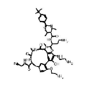 Cc1nc(-c2ccc(C(C)(C)C)cc2)nc(C)c1C(=O)NC(CCN)C(=O)N(C)C1C(=O)NC(C)C(=O)NC(C(=O)NCC#N)Cc2ccc(OCCN)c(c2)-c2cc1cc(NCCN)c2O